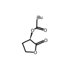 CCC(C)C(=O)O[C@@H]1CCOC1=O